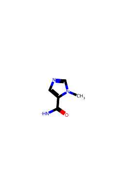 Cn1cncc1C([NH])=O